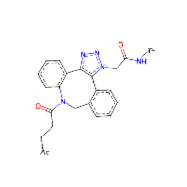 CC(=O)CCC(=O)N1Cc2ccccc2-c2c(nnn2CC(=O)NC(C)C)-c2ccccc21